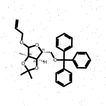 C=CCOC1O[C@H](COC(c2ccccc2)(c2ccccc2)c2ccccc2)[C@H]2OC(C)(C)O[C@@]12C